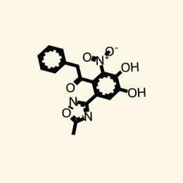 Cc1nc(-c2cc(O)c(O)c([N+](=O)[O-])c2C(=O)Cc2ccccc2)no1